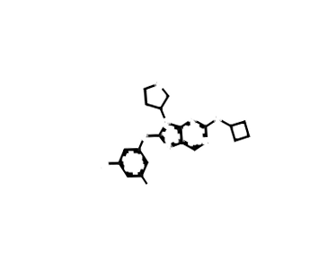 Cc1cc(Cl)cc(Nc2nc3cnc(NC4CCC4)nc3n2C2CCNC2)c1